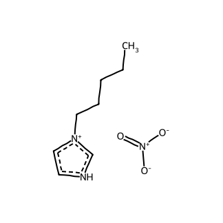 CCCCC[n+]1cc[nH]c1.O=[N+]([O-])[O-]